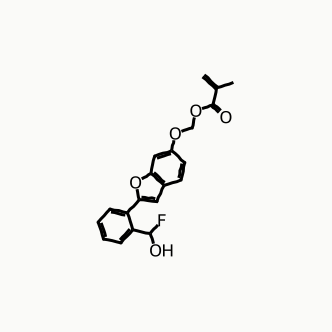 C=C(C)C(=O)OCOc1ccc2cc(-c3ccccc3C(O)F)oc2c1